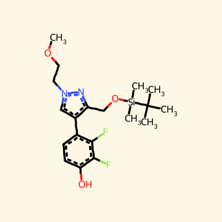 COCCn1cc(-c2ccc(O)c(F)c2F)c(CO[Si](C)(C)C(C)(C)C)n1